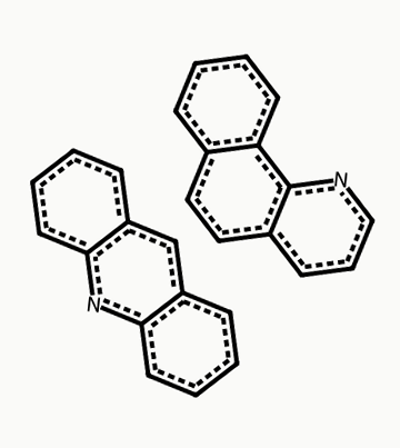 c1ccc2c(c1)ccc1cccnc12.c1ccc2nc3ccccc3cc2c1